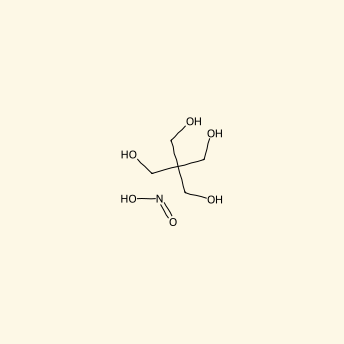 O=NO.OCC(CO)(CO)CO